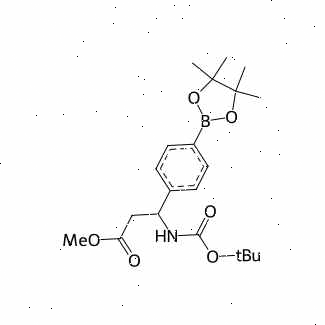 COC(=O)CC(NC(=O)OC(C)(C)C)c1ccc(B2OC(C)(C)C(C)(C)O2)cc1